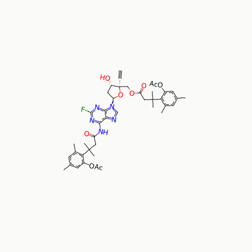 C#C[C@]1(COC(=O)CC(C)(C)c2c(C)cc(C)cc2OC(C)=O)O[C@@H](n2cnc3c(NC(=O)CC(C)(C)c4c(C)cc(C)cc4OC(C)=O)nc(F)nc32)C[C@@H]1O